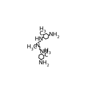 CC1CC(N)CCC1NCCN(C)CCNC1CCC(N)C[C@H]1C